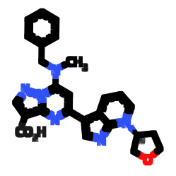 CN(Cc1ccccc1)c1cc(-c2cnc3n([C@H]4CCOC4)cccc2-3)nc2c(C(=O)O)cnn12